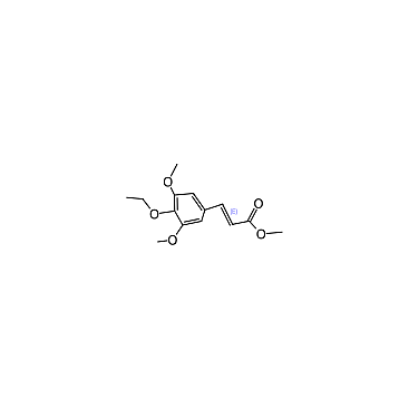 CCOc1c(OC)cc(/C=C/C(=O)OC)cc1OC